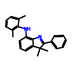 Cc1cccc(C)c1Nc1cccc2c1N=C(c1ccccc1)C2(C)C